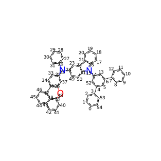 c1ccc(-c2cc(-c3ccccc3)cc(-n3c4ccccc4c4cc(N(c5ccccc5)c5ccc6c(c5)Oc5cccc7cccc-6c57)ccc43)c2)cc1